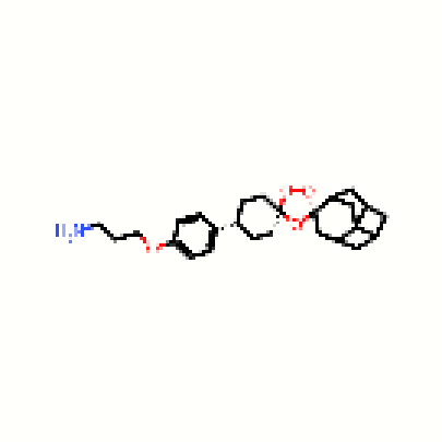 NCCCOc1ccc([C@H]2CC[C@]3(CC2)OO[C@]2(O3)C3CC4CC5CC2CC45C3)cc1